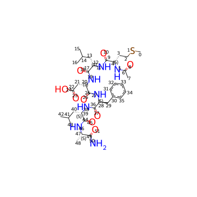 CSCC[C@H](NC(C)=O)C(=O)N[C@@H](CC(C)C)C(=O)N[C@@H](CC(=O)O)C(=O)N[C@@H](Cc1ccccc1)C(=O)N[C@@H](CC(C)C)C(=O)N[C@@H](C)C(N)=O